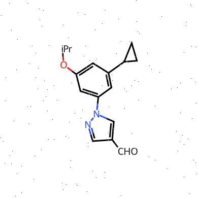 CC(C)Oc1cc(C2CC2)cc(-n2cc(C=O)cn2)c1